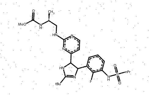 CCCS(=O)(=O)Nc1cccc(C2N=C(C(C)(C)C)NC2c2ccnc(NC[C@H](C)NC(=O)OC)n2)c1F